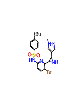 Cn1cc(C2NC2c2nc(NS(=O)(=O)c3ccc(C(C)(C)C)cc3)ccc2Br)cn1